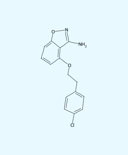 Nc1noc2cccc(OCCc3ccc(Cl)cc3)c12